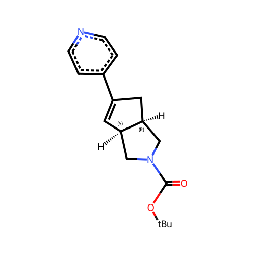 CC(C)(C)OC(=O)N1C[C@@H]2CC(c3ccncc3)=C[C@@H]2C1